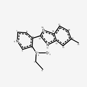 CC[S+]([O-])c1cnccc1-c1nc2cc(C)ccc2o1